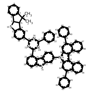 CC1(C)c2ccccc2C2Sc3ccc(-c4nc(-c5ccccc5)nc(-c5cccc6sc7cc(-n8c9cc(-c%10ccccc%10)c%10ccccc%10c9c9c%10ccccc%10c(-c%10ccccc%10)cc98)ccc7c56)n4)cc3C21